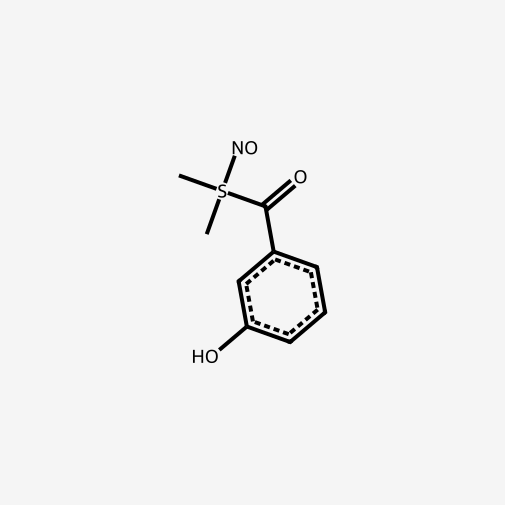 CS(C)(N=O)C(=O)c1cccc(O)c1